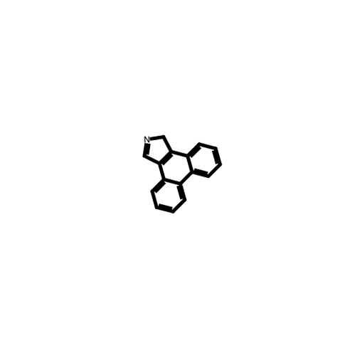 C1=NCc2c1c1ccccc1c1ccccc21